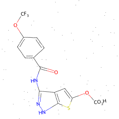 O=C(O)Oc1cc2c(NC(=O)c3ccc(OC(F)(F)F)cc3)n[nH]c2s1